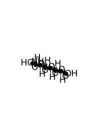 N[C@@H](CO)C(=O)NCC(=O)NCC(=O)NCC(=O)NCC(=O)NCC(=O)NCC(=O)O